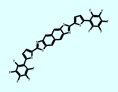 Fc1c(F)c(F)c(-c2ccc(-c3nc4cc5cc6sc(-c7ccc(-c8c(F)c(F)c(F)c(F)c8F)s7)nc6cc5cc4s3)s2)c(F)c1F